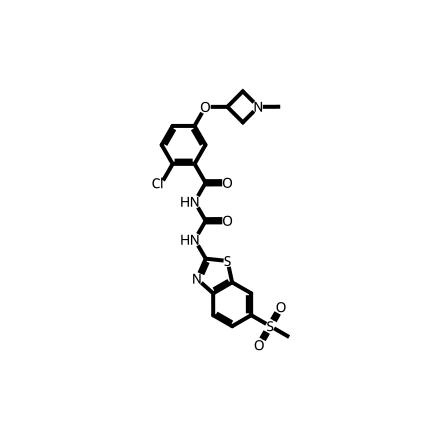 CN1CC(Oc2ccc(Cl)c(C(=O)NC(=O)Nc3nc4ccc(S(C)(=O)=O)cc4s3)c2)C1